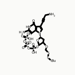 CC(C)(C)SSCOC1C[C@H](n2cc(C#CCN)c3c(=O)[nH]c(N)cc32)O[C@@H]1OP(=O)(O)OP(=O)(O)OP(=O)(O)O